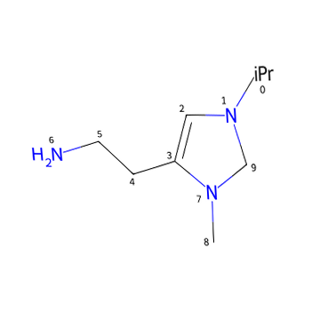 CC(C)N1C=C(CCN)N(C)C1